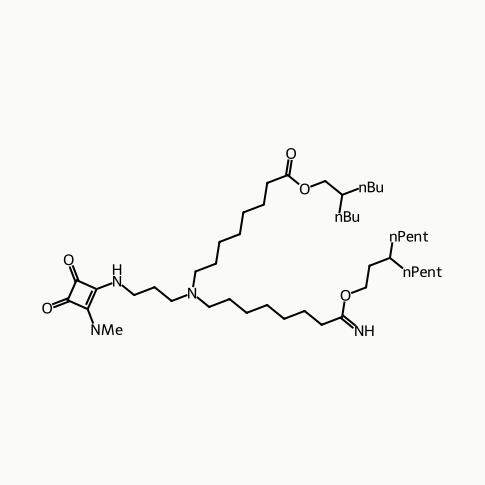 CCCCCC(CCCCC)CCOC(=N)CCCCCCCN(CCCCCCCC(=O)OCC(CCCC)CCCC)CCCNc1c(NC)c(=O)c1=O